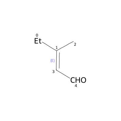 CC/C(C)=C/C=O